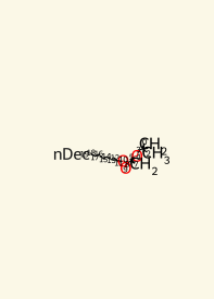 C=C(C)COCC(=C)C(=O)OCCCCCCCCCCCCCCCCCC